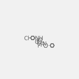 O=C(Nc1ccc(Cl)cc1)O[C@@H](CN1CCC[C@@H](c2ccccc2)C1)C(F)(F)F